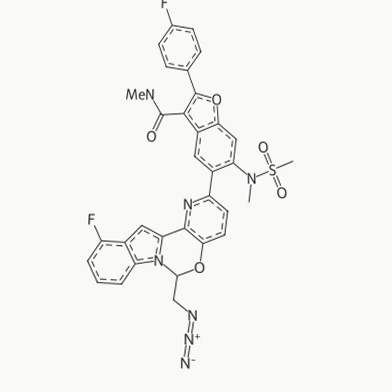 CNC(=O)c1c(-c2ccc(F)cc2)oc2cc(N(C)S(C)(=O)=O)c(-c3ccc4c(n3)-c3cc5c(F)cccc5n3C(CN=[N+]=[N-])O4)cc12